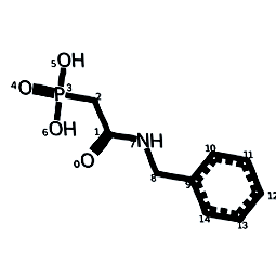 O=C(CP(=O)(O)O)NCc1ccccc1